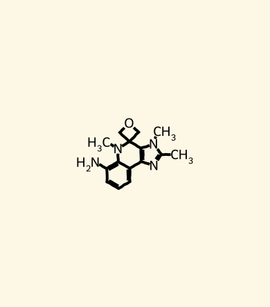 Cc1nc2c(n1C)C1(COC1)N(C)c1c(N)cccc1-2